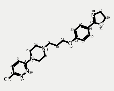 Clc1ccc(N2CCN(CCCOc3ccc(C4=NCCO4)cc3)CC2)nn1